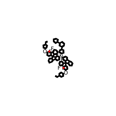 C=Cc1ccc(Oc2ccc(C3(c4c(F)ccc(F)c4F)c4ccccc4-c4ccc(N(c5ccc(-c6cccc(-c7ccccc7)c6)cc5)c5ccc6c(c5)C(c5ccc(Oc7ccc(C=C)cc7)cc5)(c5c(F)ccc(F)c5F)c5ccccc5-6)cc43)cc2)cc1